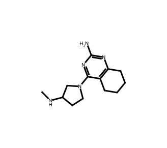 CNC1CCN(c2nc(N)nc3c2CCCC3)C1